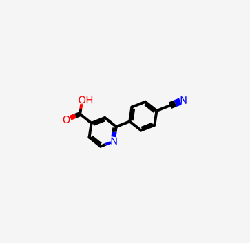 N#Cc1ccc(-c2cc(C(=O)O)ccn2)cc1